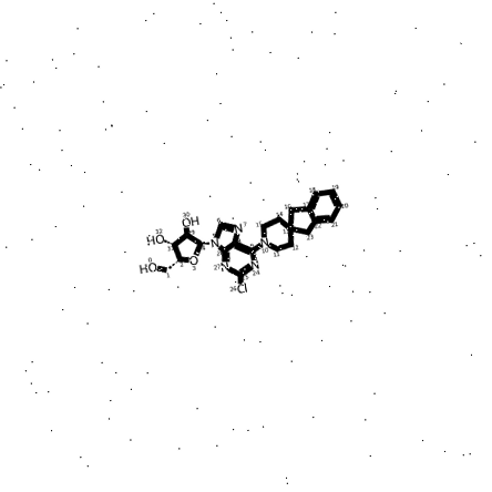 OC[C@H]1O[C@@H](n2cnc3c(N4CCC5(CC4)Cc4ccccc4C5)nc(Cl)nc32)C(O)[C@H]1O